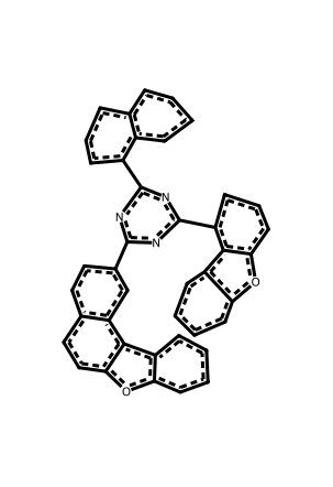 c1ccc2c(-c3nc(-c4ccc5ccc6oc7ccccc7c6c5c4)nc(-c4cccc5oc6ccccc6c45)n3)cccc2c1